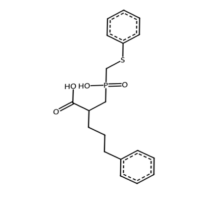 O=C(O)C(CCCc1ccccc1)CP(=O)(O)CSc1ccccc1